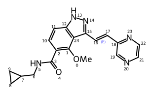 COc1c(C(=O)NCC2CC2)ccc2[nH]nc(/C=C/c3cnccn3)c12